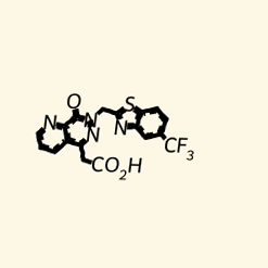 O=C(O)Cc1nn(Cc2nc3cc(C(F)(F)F)ccc3s2)c(=O)c2ncccc12